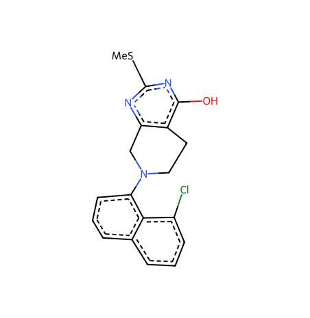 CSc1nc(O)c2c(n1)CN(c1cccc3cccc(Cl)c13)CC2